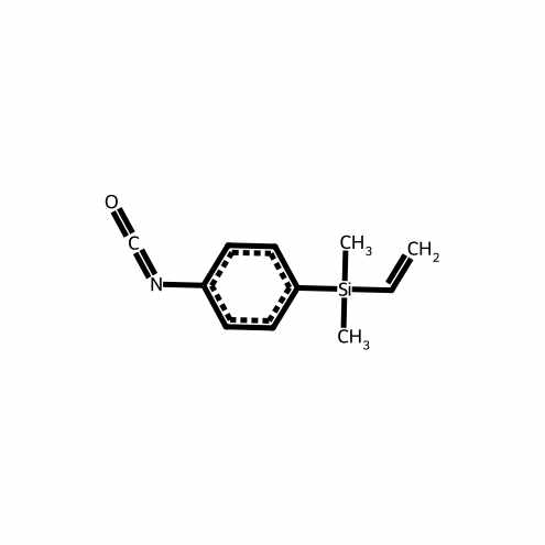 C=C[Si](C)(C)c1ccc(N=C=O)cc1